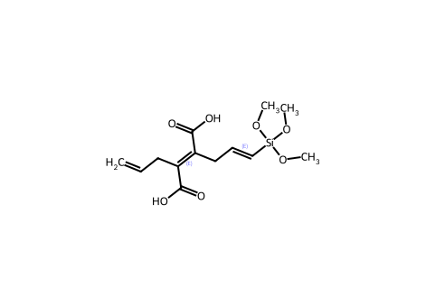 C=CC/C(C(=O)O)=C(/C/C=C/[Si](OC)(OC)OC)C(=O)O